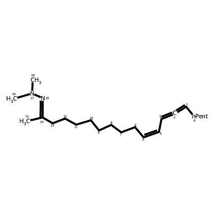 CCCCCC=C=C/C=C\CCCCCCCCC(C)=NN(C)C